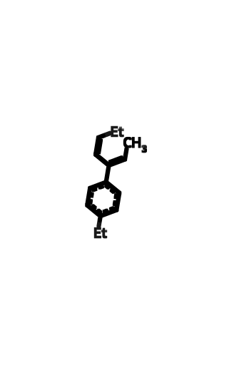 C/C=C(\C=C/CC)c1ccc(CC)cc1